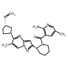 C=N[C@H]1CCN(c2nc3cc([C@@H]4CCCCN4C(=O)c4cc(C)cnc4N)nn3cc2C)C1